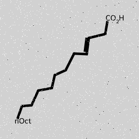 CCCCCCCCCCCCCCCC=CCC(=O)O